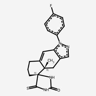 C[C@]12Cc3cnn(-c4ccc(F)cc4)c3C=C1CCC[C@]21NC(=O)NC1=S